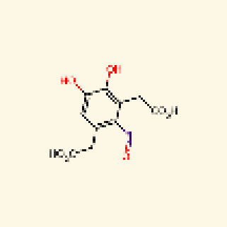 O=Ic1c(CC(=O)O)cc(O)c(O)c1CC(=O)O